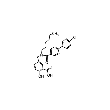 CCCCCCN(Cc1ccc(O)c(C(=O)O)c1)C(=O)c1ccc(-c2ccc(Cl)cc2)cc1